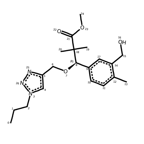 CCCn1cc(CO[C@H](c2ccc(C)c(CO)c2)C(C)(C)C(=O)OC)nn1